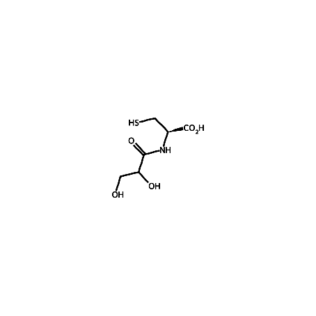 O=C(N[C@@H](CS)C(=O)O)C(O)CO